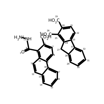 NNC(=O)c1c(C(=O)O)ccc2c1ccc1ccccc12.O=C(O)c1ccc2c(c1C(=O)O)Cc1ccccc1-2